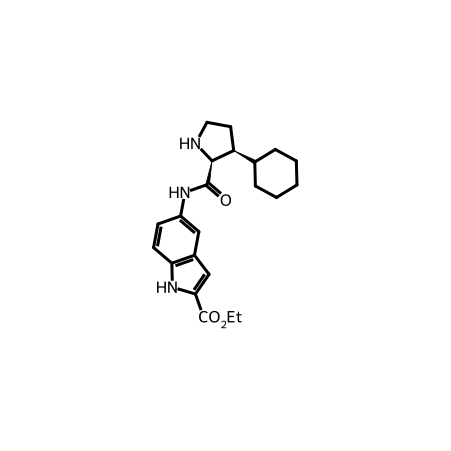 CCOC(=O)c1cc2cc(NC(=O)[C@H]3NCC[C@H]3C3CCCCC3)ccc2[nH]1